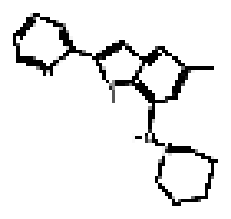 Cc1cc(NN2CCCCC2)c2[nH]c(-c3ccccn3)cc2c1